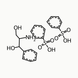 NC(CO)C(O)c1ccccc1.O=S(=O)(O)c1ccccc1.O=S(=O)(O)c1ccccc1